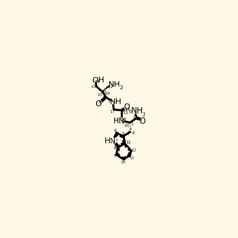 NC(=O)[C@H](Cc1c[nH]c2ccccc12)NC(=O)CNC(=O)[C@H](N)CO